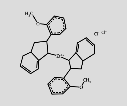 COc1ccccc1C1CC2CC=CC=C2[CH]1[Zr+2][CH]1C2=CC=CCC2CC1c1ccccc1OC.[Cl-].[Cl-]